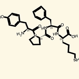 NCCCC[C@H](NC(=O)[C@H](Cc1ccccc1)NC(=O)[C@@H]1CCCN1C(=O)[C@@H](N)Cc1ccc(O)cc1)C(=O)O